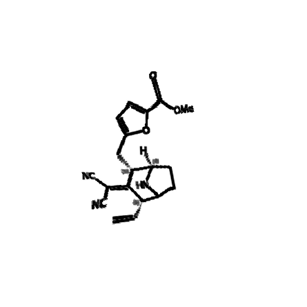 C=C[C@@H]1C(=C(C#N)C#N)[C@H](Cc2ccc(C(=O)OC)o2)[C@H]2CCC1N2